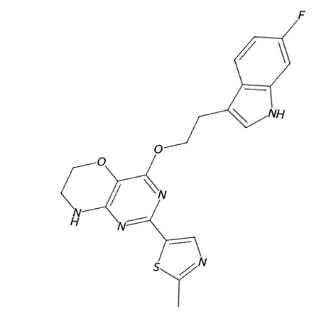 Cc1ncc(-c2nc3c(c(OCCc4c[nH]c5cc(F)ccc45)n2)OCCN3)s1